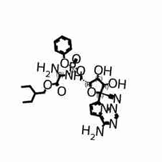 CCC(CC)COC(=O)[C@H](N)N[P@](=O)(OC[C@H]1O[C@@](C#N)(c2ccc3c(N)ncnn23)[C@H](O)[C@@H]1O)Oc1ccccc1